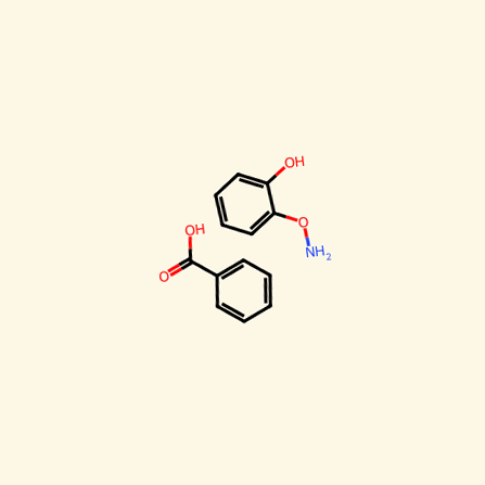 NOc1ccccc1O.O=C(O)c1ccccc1